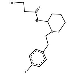 O=C(CCO)NC1CCCCN1CCc1ccc(F)cc1